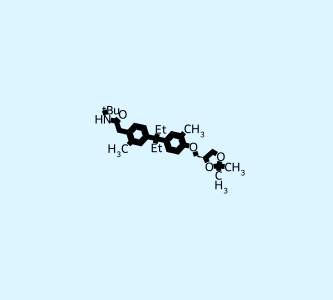 CCC(CC)(c1ccc(CC(=O)NC(C)(C)C)c(C)c1)c1ccc(OC[C@@H]2COC(C)(C)O2)c(C)c1